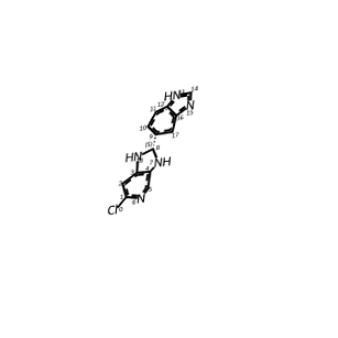 Clc1cc2c(cn1)N[C@@H](c1ccc3[nH]cnc3c1)N2